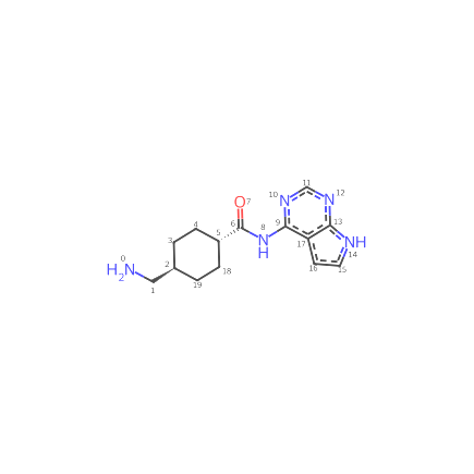 NC[C@H]1CC[C@H](C(=O)Nc2ncnc3[nH]ccc23)CC1